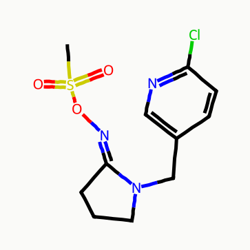 CS(=O)(=O)O/N=C1\CCCN1Cc1ccc(Cl)nc1